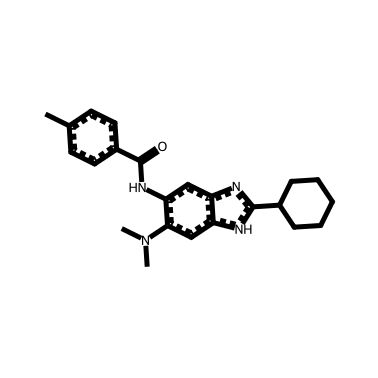 Cc1ccc(C(=O)Nc2cc3nc(C4CCCCC4)[nH]c3cc2N(C)C)cc1